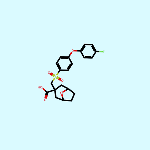 O=C(O)C1(CS(=O)(=O)c2ccc(Oc3ccc(F)cc3)cc2)CC2CCC(C1)O2